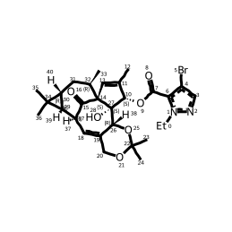 CCn1ncc(Br)c1C(=O)O[C@H]1C(C)=C[C@]23C(=O)[C@@H](C=C4COC(C)(C)O[C@H]4[C@]12O)[C@H]1[C@@H](C[C@H]3C)C1(C)C